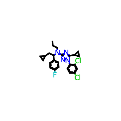 CCCN(c1nc(C2CC2)n(-c2ccc(Cl)cc2Cl)n1)C(CC1CC1)c1ccc(F)cc1